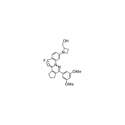 COc1cc(OC)cc(-c2nn(-c3cc(N4CCC4CO)ccc3C(F)(F)F)c(=O)c3c2CCC3)c1